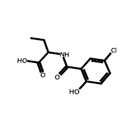 CCC(NC(=O)c1cc(Cl)ccc1O)C(=O)O